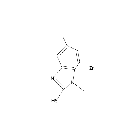 Cc1ccc2c(nc(S)n2C)c1C.[Zn]